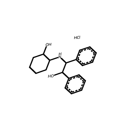 Cl.OC1CCCCC1NC(c1ccccc1)C(O)c1ccccc1